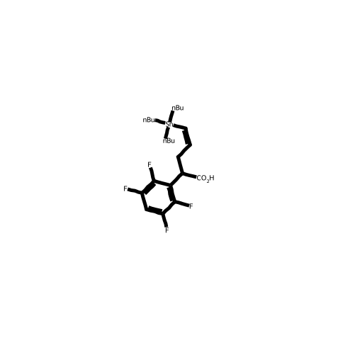 CCC[CH2][Sn](/[CH]=C\CC(C(=O)O)c1c(F)c(F)cc(F)c1F)([CH2]CCC)[CH2]CCC